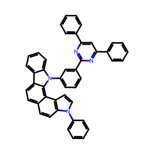 c1ccc(-c2cc(-c3ccccc3)nc(-c3cccc(-n4c5ccccc5c5ccc6ccc7c(ccn7-c7ccccc7)c6c54)c3)n2)cc1